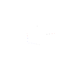 CCN1CC(O)CO1